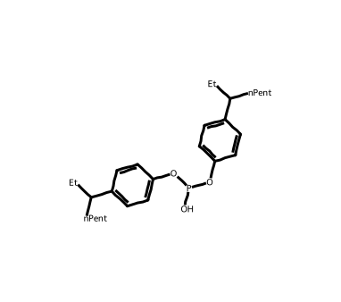 CCCCCC(CC)c1ccc(OP(O)Oc2ccc(C(CC)CCCCC)cc2)cc1